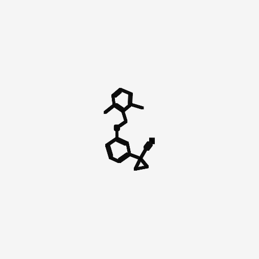 Cc1cccc(C)c1COc1cccc(C2(C#N)CC2)c1